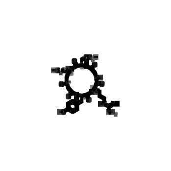 N=C(N)NCCC[C@@H]1NC(=O)[C@@H](Cc2ccc(O)cc2)NC(=O)C[S+]([O-])C[C@@H](C(=O)O)NC(=O)[C@H](CC(=O)O)NC(=O)CNC1=O